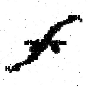 C=CC(=O)OCCCCCCOc1ccc(OC(=O)C2CCC(C(=O)Oc3ccc(-c4cc(/C=N/N(CCCCCC)c5nc6ccccc6s5)c(OC(=O)C5CCC(C(=O)Oc6ccc(OCCCCCCOC(=O)C=C)cc6)CC5)cc4C(F)(F)F)cc3/C=N/N(CCCCCC)c3nc4ccccc4s3)CC2)cc1